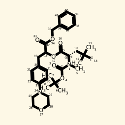 CN(C(=O)OC(C)(C)C)[C@@H](CC(C)(C)F)C(=O)OC(Cc1ccc(N2CCOCC2)cc1)C(=O)OCc1ccccc1